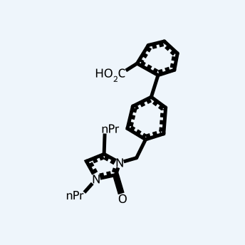 CCCc1cn(CCC)c(=O)n1Cc1ccc(-c2ccccc2C(=O)O)cc1